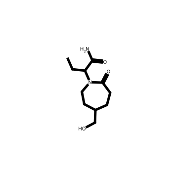 CCC(C(N)=O)N1CCC(CO)CCC1=O